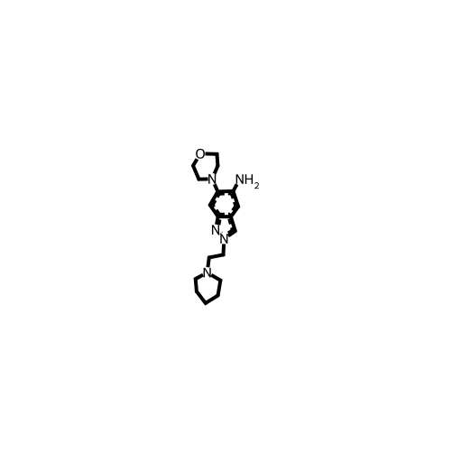 Nc1cc2cn(CCN3CCCCC3)nc2cc1N1CCOCC1